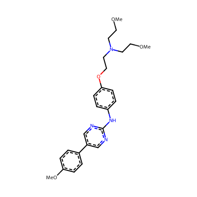 COCCN(CCOC)CCOc1ccc(Nc2ncc(-c3ccc(OC)cc3)cn2)cc1